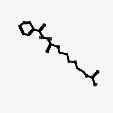 O=C(NNC(=O)c1cccnc1)OCCSSCCO[N+](=O)[O-]